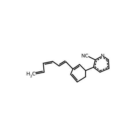 C=C/C=C\C=C\C1=CC(c2cccnc2C#N)CC=C1